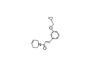 O=C(/C=C/c1cccc(OCC2CC2)c1)N1CC=CCC1